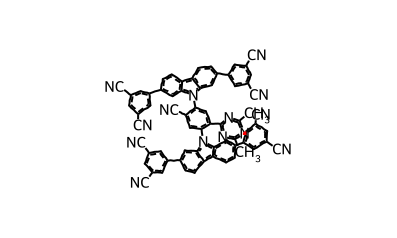 Cc1nc(C)nc(-c2cc(-n3c4cc(-c5cc(C#N)cc(C#N)c5)ccc4c4ccc(-c5cc(C#N)cc(C#N)c5)cc43)c(C#N)cc2-n2c3cc(-c4cc(C#N)cc(C#N)c4)ccc3c3ccc(-c4cc(C#N)cc(C#N)c4)cc32)n1